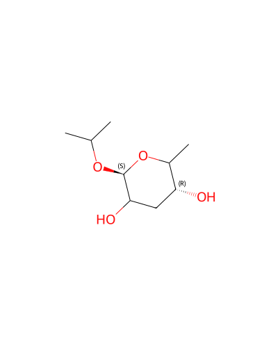 CC(C)O[C@H]1OC(C)[C@H](O)CC1O